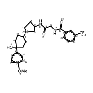 COc1ccc(C2(O)CCC(N3CCC(NC(=O)CNC(=O)c4cccc(C(F)(F)F)c4)C3)CC2)cn1